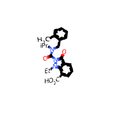 CCn1c2c(C(=O)O)cccc2c(=O)n1C(=O)N(Cc1ccccc1C)C(C)C